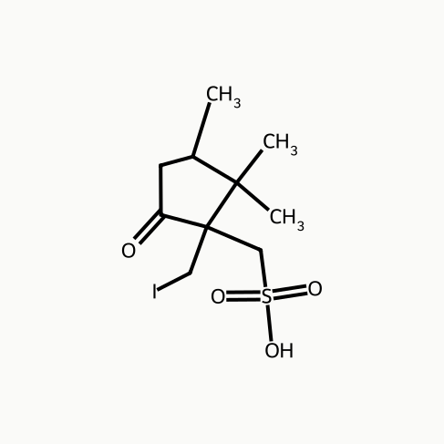 CC1CC(=O)C(CI)(CS(=O)(=O)O)C1(C)C